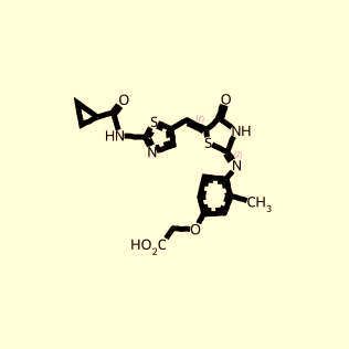 Cc1cc(OCC(=O)O)ccc1/N=C1/NC(=O)/C(=C/c2cnc(NC(=O)C3CC3)s2)S1